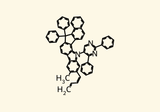 C=C/C=C\c1cc2c(cc1C)c1ccc3c(c1n2-c1cnc(-c2ccccc2)nc1-c1ccccc1)-c1ccc2ccccc2c1C3(c1ccccc1)c1ccccc1